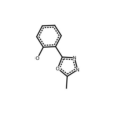 Cc1nnc(-c2ccccc2[O])o1